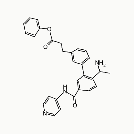 CC(N)c1ccc(C(=O)Nc2ccncc2)cc1-c1cccc(CCC(=O)Oc2ccccc2)c1